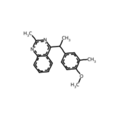 COc1ccc(C(C)c2nc(C)nc3ccccc23)cc1C